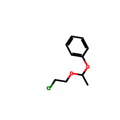 CC(OCCCl)Oc1ccccc1